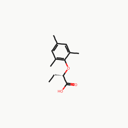 CC[C@H](Oc1c(C)cc(C)cc1C)C(=O)O